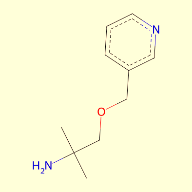 CC(C)(N)COCc1cccnc1